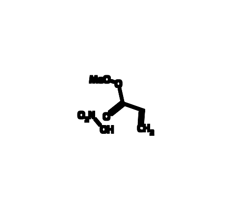 C=CC(=O)OOC.O=[N+]([O-])O